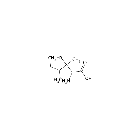 CCC(C)C(C)(S)C(N)C(=O)O